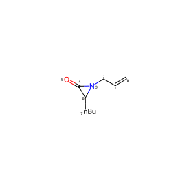 C=CCN1C(=O)C1CCCC